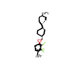 CCCc1ccc(OC[C@H]2CC[C@H]([C@H]3CC[C@H](CCC)CC3)CC2)c(F)c1F